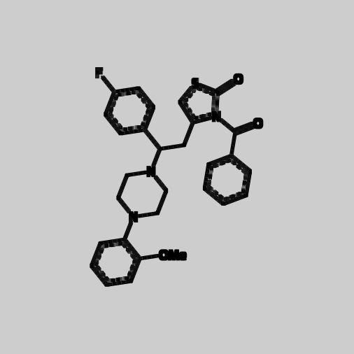 COc1ccccc1N1CCN(C(Cc2csc(=O)n2C(=O)c2ccccc2)c2ccc(F)cc2)CC1